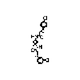 CC1(NC(=O)COc2cccc(Cl)c2)C=C(NC(=O)COc2ccc(Cl)cc2)C1